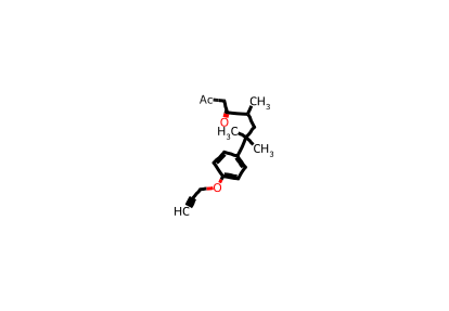 C#CCOc1ccc(C(C)(C)CC(C)C(=O)CC(C)=O)cc1